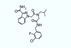 CC(C)CN(CC(=O)NCc1cccc(Cl)c1F)C(=O)Cn1nc(C(N)=O)c2ccccc21